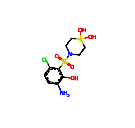 Nc1ccc(Cl)c(S(=O)(=O)N2CCS(O)(O)CC2)c1O